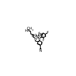 CNCCCCN1Cc2cc(C#N)ccc2N(c2c(F)cc(F)cc2F)S1(O)O